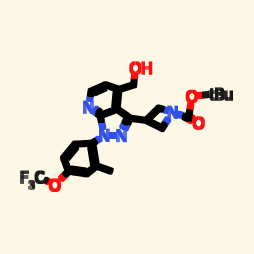 Cc1cc(OC(F)(F)F)ccc1-n1nc(C2CN(C(=O)OC(C)(C)C)C2)c2c(CO)ccnc21